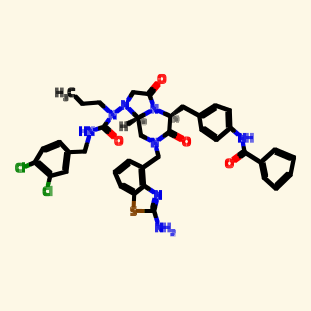 CCCN(C(=O)NCc1ccc(Cl)c(Cl)c1)N1CC(=O)N2[C@@H](Cc3ccc(NC(=O)c4ccccc4)cc3)C(=O)N(Cc3cccc4sc(N)nc34)C[C@@H]21